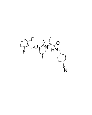 Cc1cc(OCc2c(F)cccc2F)c2nc(C)c(C(=O)NCC3CCC(C#N)CC3)n2c1